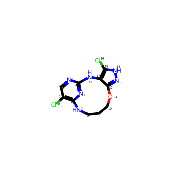 Clc1cnc2nc1NCCCOc1n[nH]c(Cl)c1N2